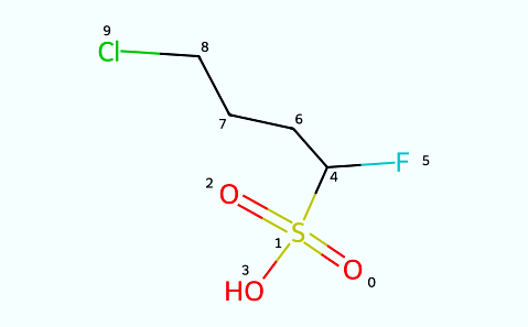 O=S(=O)(O)C(F)CCCCl